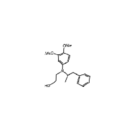 COc1ccc(N(CCO)C(C)Cc2ccccc2)cc1OC